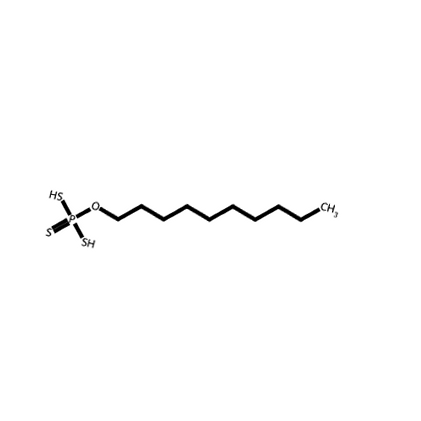 CCCCCCCCCCOP(=S)(S)S